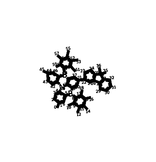 Cc1ccc2c(c1)B(c1c(C)c(C)c(C)c(C)c1C)c1cc(-c3ccc4c(c3)-c3ccccc3C4(C)C)cc3c1N2c1ccc(C)cc1B3c1c(C)c(C)c(C)c(C)c1C